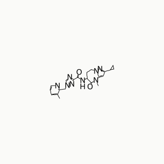 Cc1cccnc1Cn1cnc(C(=O)N[C@H]2CCn3nc(C4CC4)cc3N(C)C2=O)n1